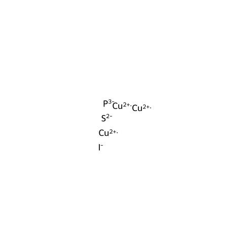 [Cu+2].[Cu+2].[Cu+2].[I-].[P-3].[S-2]